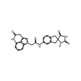 CN1C(=O)NC(=O)C12Cc1ccc(NC(=O)Cn3cc4c5c(cccc53)NC(=O)C4)cc1C2